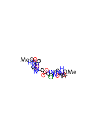 COC(=O)N[C@H](C(=O)N1CCC[C@H]1c1ncc(-c2cc3oc4ccc(-c5cnc([C@@H]6CCCN6C(=O)[C@H](NC(=O)OC)c6ccccc6)[nH]5)cc4c(=O)c3cc2Cl)[nH]1)C(C)C